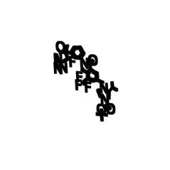 CC(C)[C@H]1CN(C(=O)OC(C)(C)C)CCN1Cc1cc2c(c(C(F)(F)F)c1)CN(c1cccc(C3(C(F)c4nncn4C)COC3)c1)C2=O